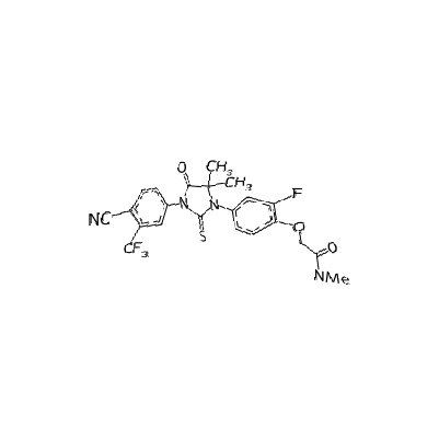 CNC(=O)COc1ccc(N2C(=S)N(c3ccc(C#N)c(C(F)(F)F)c3)C(=O)C2(C)C)cc1F